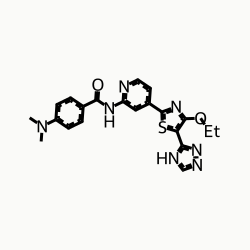 CCOc1nc(-c2ccnc(NC(=O)c3ccc(N(C)C)cc3)c2)sc1-c1nnc[nH]1